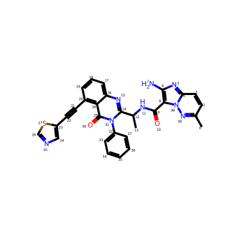 Cc1ccc2nc(N)c(C(=O)NC(C)c3nc4cccc(C#Cc5cncs5)c4c(=O)n3-c3ccccc3)n2n1